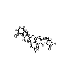 O=C(NC(CC1CC1)C(=O)NC(C[C@@H]1CCNC1=O)C(=O)O)c1cc2cccc(Cl)c2[nH]1